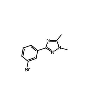 Cc1nc(-c2cccc(Br)c2)nn1C